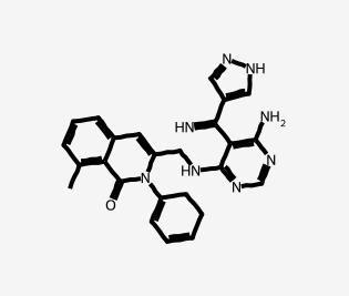 Cc1cccc2cc(CNc3ncnc(N)c3C(=N)c3cn[nH]c3)n(C3=CC=CCC3)c(=O)c12